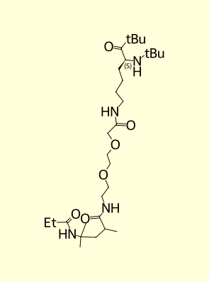 CCC(=O)NC(C)(C)CC(C)C(=O)NCCOCCOCC(=O)NCCCC[C@H](NC(C)(C)C)C(=O)C(C)(C)C